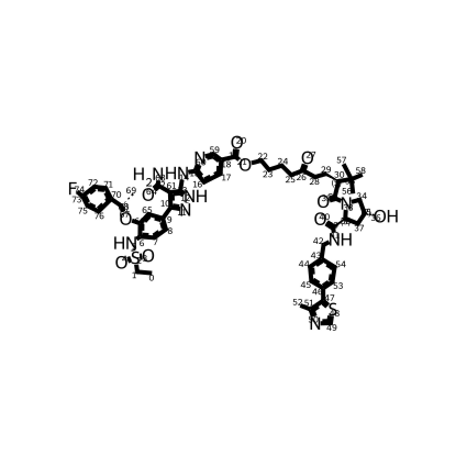 CCS(=O)(=O)Nc1ccc(-c2n[nH]c(Nc3ccc(C(=O)OCCCCC(=O)CC[C@H](C(=O)N4C[C@H](O)C[C@H]4C(=O)NCc4ccc(-c5scnc5C)cc4)C(C)(C)C)cn3)c2C(N)=O)cc1O[C@@H](C)c1ccc(F)cc1